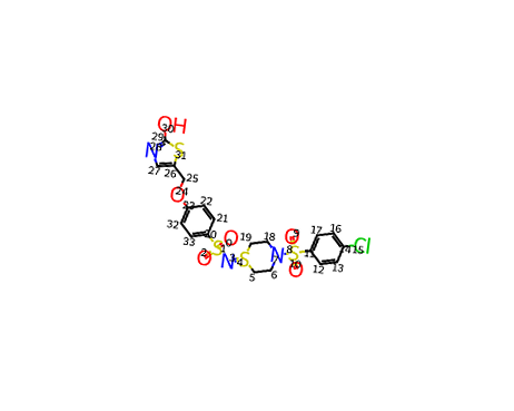 O=S(=O)(N=S1CCN(S(=O)(=O)c2ccc(Cl)cc2)CC1)c1ccc(OCc2cnc(O)s2)cc1